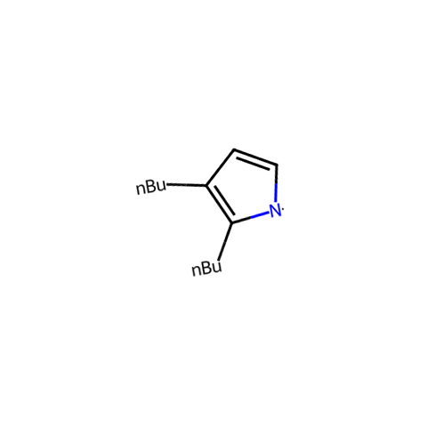 CCCCC1=C(CCCC)[N]C=C1